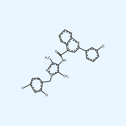 Cc1nn(Cc2ccc(Cl)cc2Cl)c(C)c1NC(=O)c1cc(-c2cccc(Cl)c2)nc2ccccc12